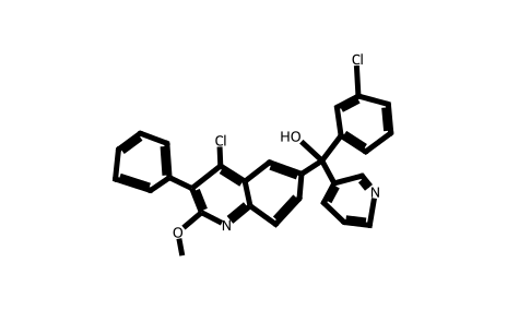 COc1nc2ccc(C(O)(c3cccnc3)c3cccc(Cl)c3)cc2c(Cl)c1-c1ccccc1